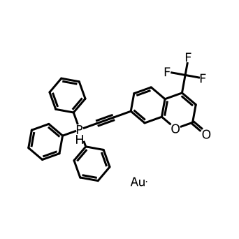 O=c1cc(C(F)(F)F)c2ccc(C#C[PH](c3ccccc3)(c3ccccc3)c3ccccc3)cc2o1.[Au]